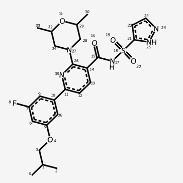 CC(C)COc1cc(F)cc(-c2ccc(C(=O)NS(=O)(=O)c3ccn[nH]3)c(N3CC(C)OC(C)C3)n2)c1